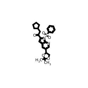 CC1(C)OCC(c2cnc3c(c2)cc(C(=O)CC2CCCC2)n3S(=O)(=O)c2ccccc2)O1